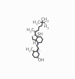 C=C1CC[C@H](O)C/C1=C/C=C1\CCC[C@]2(S)[C@@H]([C@H](C)CCCC(C)(C)C)CC[C@@H]12